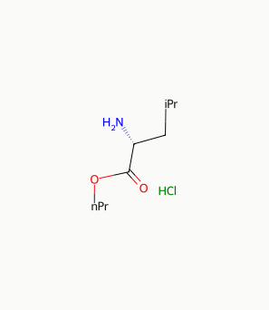 CCCOC(=O)[C@H](N)CC(C)C.Cl